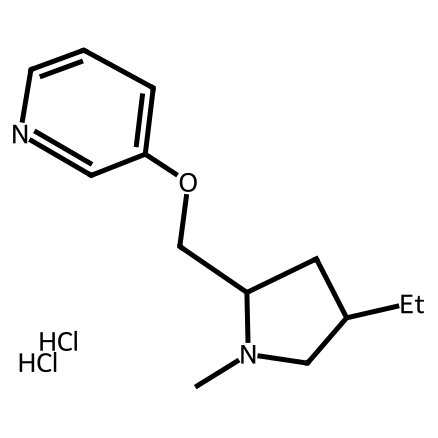 CCC1CC(COc2cccnc2)N(C)C1.Cl.Cl